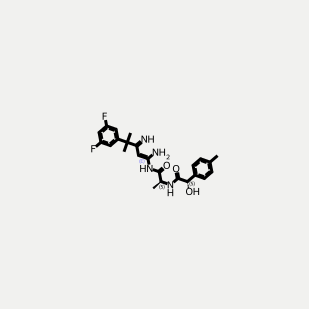 Cc1ccc([C@H](O)C(=O)N[C@@H](C)C(=O)N/C(N)=C/C(=N)C(C)(C)c2cc(F)cc(F)c2)cc1